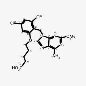 COc1nc(N)c2ncn(Cc3c(Cl)cc(Cl)cc3OCCCCC(=O)O)c2n1